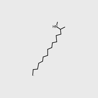 [CH2]CCCCCCCCCCCCC(C)NC